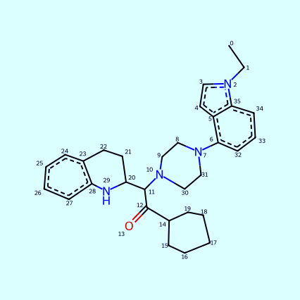 CCn1ccc2c(N3CCN(C(C(=O)C4CCCCC4)C4CCc5ccccc5N4)CC3)cccc21